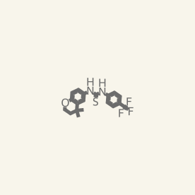 CC1(C)CCOc2ccc(NC(=S)Nc3ccc(C(F)(F)F)cc3)cc21